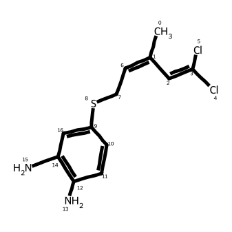 CC(C=C(Cl)Cl)=CCSc1ccc(N)c(N)c1